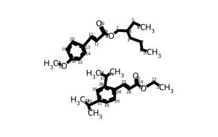 CCCCC(CC)COC(=O)C=Cc1ccc(OC)cc1.CCOC(=O)C=Cc1ccc(C(C)C)cc1C(C)C